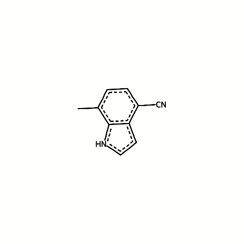 Cc1ccc(C#N)c2cc[nH]c12